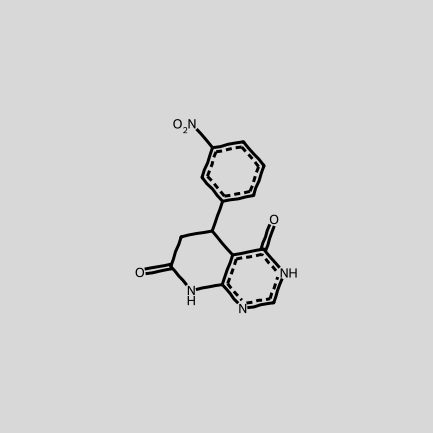 O=C1CC(c2cccc([N+](=O)[O-])c2)c2c(nc[nH]c2=O)N1